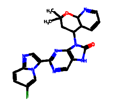 CC1(C)CC(n2c(=O)[nH]c3cnc(-c4cnc5ccc(F)cn45)nc32)C2C=CC=NC2O1